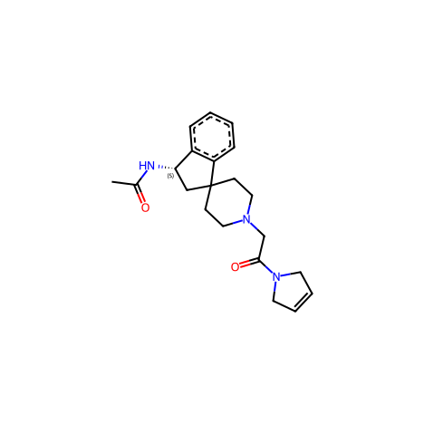 CC(=O)N[C@H]1CC2(CCN(CC(=O)N3CC=CC3)CC2)c2ccccc21